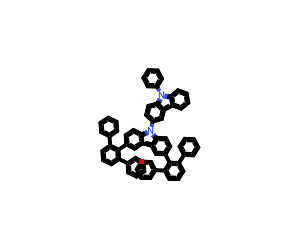 c1ccc(-c2cccc(-c3ccccc3)c2-c2ccc3c(c2)c2cc(-c4c(-c5ccccc5)cccc4-c4ccccc4)ccc2n3-c2ccc3c(c2)c2ccccc2n3-c2ccccc2)cc1